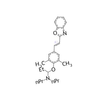 CCCN(CCC)C(CC)Oc1c(C)cc(/C=C/c2nc3ccccc3o2)cc1C